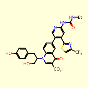 CCNC(=O)Nc1cc(-c2nc(C(F)(F)F)cs2)c(-c2ccc3c(c2)c(=O)c(C(=O)O)cn3C(CO)Cc2ccc(O)cc2)cn1